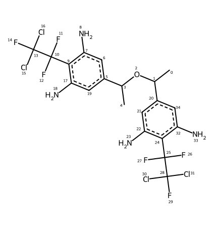 CC(OC(C)c1cc(N)c(C(F)(F)C(F)(Cl)Cl)c(N)c1)c1cc(N)c(C(F)(F)C(F)(Cl)Cl)c(N)c1